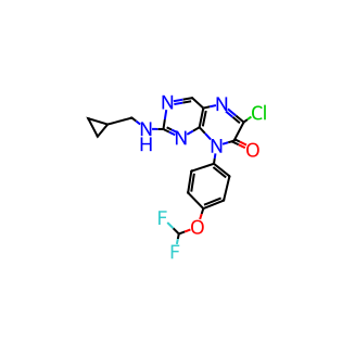 O=c1c(Cl)nc2cnc(NCC3CC3)nc2n1-c1ccc(OC(F)F)cc1